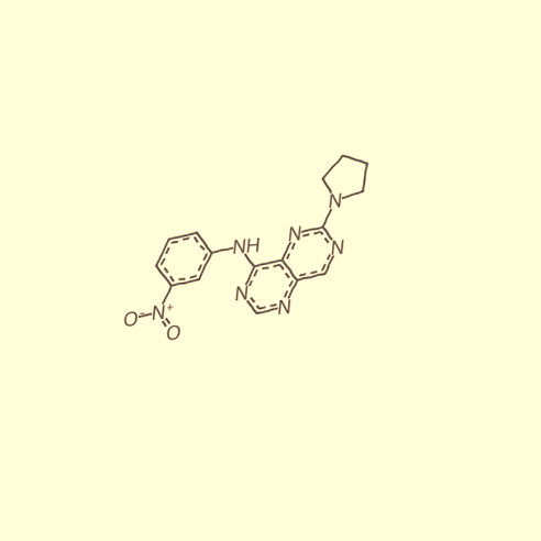 O=[N+]([O-])c1cccc(Nc2ncnc3cnc(N4CCCC4)nc23)c1